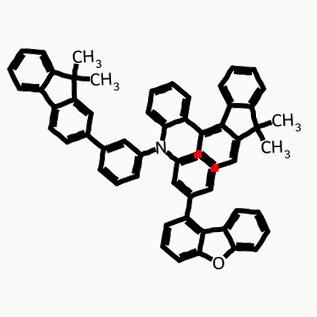 CC1(C)c2ccccc2-c2ccc(-c3cccc(N(c4cccc(-c5cccc6oc7ccccc7c56)c4)c4ccccc4-c4cccc5c4-c4ccccc4C5(C)C)c3)cc21